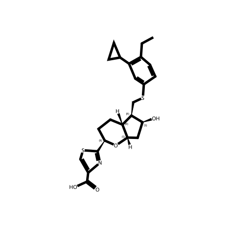 CCc1ccc(SC[C@@H]2[C@H]3CC[C@H](c4nc(C(=O)O)cs4)O[C@H]3C[C@@H]2O)cc1C1CC1